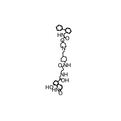 O=C(CCNC[C@H](O)c1ccc(O)c2[nH]c(=O)ccc12)NC1CCC(CCN2CCC(OC(=O)Nc3ccccc3-c3ccccc3)CC2)CC1